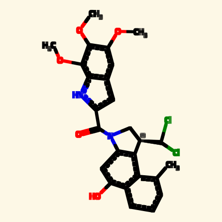 COc1cc2cc(C(=O)N3C[C@@H](C(Cl)Cl)c4c3cc(O)c3cccc(C)c43)[nH]c2c(OC)c1OC